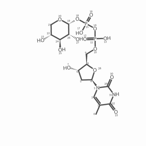 Cc1cn([C@H]2C[C@H](O)[C@@H](COP(=O)(O)OP(=O)(O)O[C@H]3OC[C@@H](O)[C@H](O)[C@H]3O)O2)c(=O)[nH]c1=O